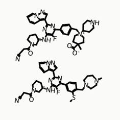 CC1(C(=O)[O-])CC[N+](Cc2ccc(-c3nc(-c4cnn5ccccc45)nc(N[C@@H]4CCCN(C(=O)CC#N)C4)c3F)cc2)(C2CCNCC2)CC1.CSc1cc(-c2nc(-c3cnn4ccccc34)nc(N[C@@H]3CCCN(C(=O)CC#N)C3)c2F)ccc1CN1CCCN(C)CC1